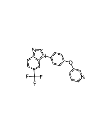 FC(F)(F)c1ccc2n[c]n(-c3ccc(Oc4cccnc4)cc3)c2c1